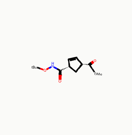 COC(=O)[C@H]1C=C[C@@H](C(=O)NOC(C)(C)C)C1